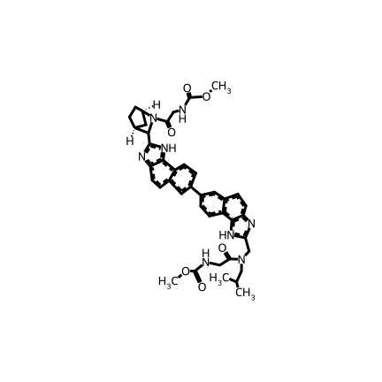 COC(=O)NCC(=O)N(Cc1nc2ccc3cc(-c4ccc5c(ccc6nc(C7[C@H]8CC[C@H](C8)N7C(=O)CNC(=O)OC)[nH]c65)c4)ccc3c2[nH]1)CC(C)C